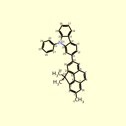 Cc1cc2c3c(ccc4cc(-c5ccc6c7ccccc7n(-c7ccccc7)c6c5)cc(c43)C2(C)C)c1